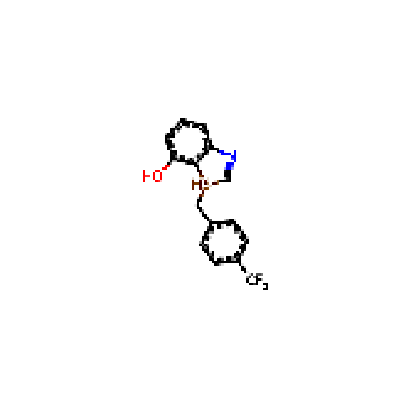 Oc1cccc2c1[SH](Cc1ccc(C(F)(F)F)cc1)C=N2